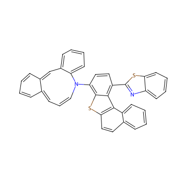 c1ccc2cc3ccccc3n(-c3ccc(-c4nc5ccccc5s4)c4c3sc3ccc5ccccc5c34)cccc2c1